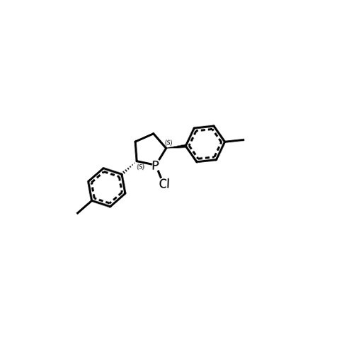 Cc1ccc([C@@H]2CC[C@@H](c3ccc(C)cc3)P2Cl)cc1